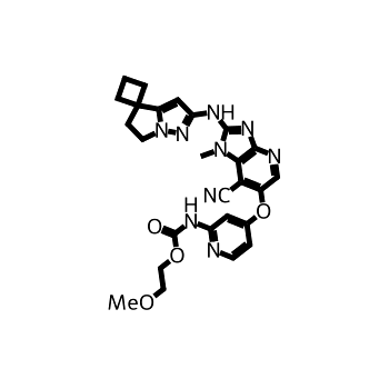 COCCOC(=O)Nc1cc(Oc2cnc3nc(Nc4cc5n(n4)CCC54CCC4)n(C)c3c2C#N)ccn1